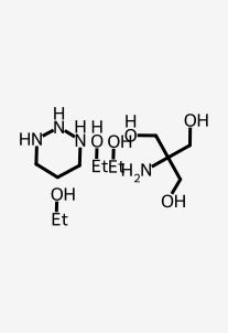 C1CNNNC1.CCO.CCO.CCO.NC(CO)(CO)CO